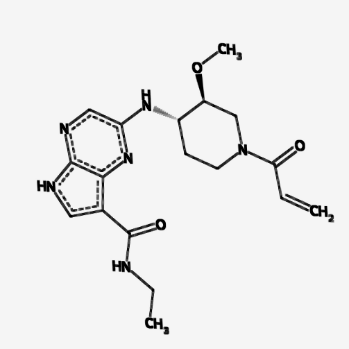 C=CC(=O)N1CC[C@H](Nc2cnc3[nH]cc(C(=O)NCC)c3n2)[C@@H](OC)C1